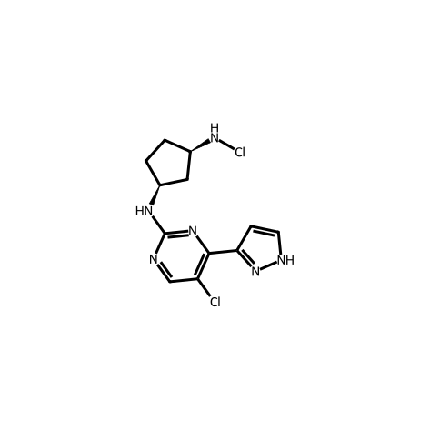 ClN[C@@H]1CC[C@H](Nc2ncc(Cl)c(-c3cc[nH]n3)n2)C1